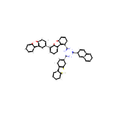 c1ccc2cc(C3=NC(c4cccc5oc6c(-c7ccc8oc9ccccc9c8c7)cccc6c45)=NC(c4ccc5c(c4)sc4ccccc45)N3)ccc2c1